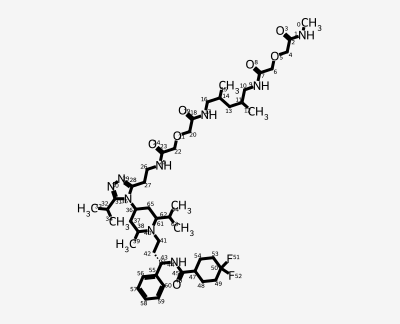 CNC(=O)COCC(=O)NCC(C)CC(C)CNC(=O)COCC(=O)NCCc1nnc(C(C)C)n1C1CC(C)N(CC[C@H](NC(=O)C2CCC(F)(F)CC2)c2ccccc2)C(C(C)C)C1